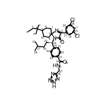 CCC(C)(C)C1CCC2(CC1)N=C(c1cc(Cl)cc(Cl)c1)C(=O)N2[C@H](CCC(C)C)c1ccc(C(=O)NCc2nn[nH]n2)cc1